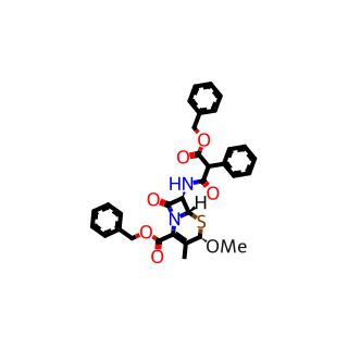 CO[C@H]1S[C@H]2[C@@H](NC(=O)C(C(=O)OCc3ccccc3)c3ccccc3)C(=O)N2C(C(=O)OCc2ccccc2)=C1C